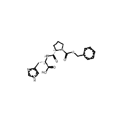 O=C(O)[C@H](Cc1c[nH]cn1)NC(=O)[C@@H]1CCCN1C(=O)OCc1ccccc1